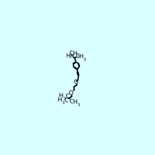 CNC(C)c1ccc(C#CCOCCCOCC(C)(C)C)cc1